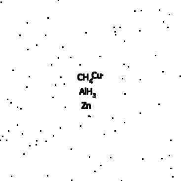 C.[AlH3].[Cu].[Zn]